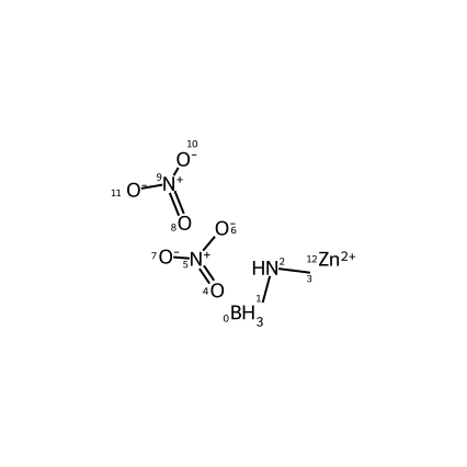 B.CNC.O=[N+]([O-])[O-].O=[N+]([O-])[O-].[Zn+2]